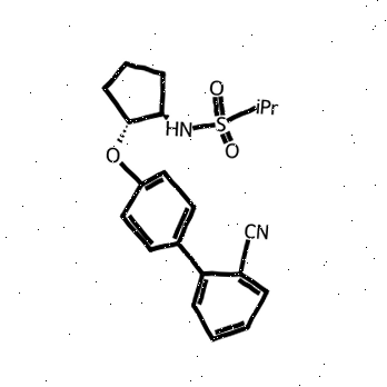 CC(C)S(=O)(=O)N[C@H]1CCC[C@H]1Oc1ccc(-c2ccccc2C#N)cc1